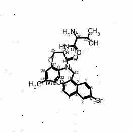 COc1ccc2cc(Br)ccc2c1CN1C(=O)[C@@H](NC(=O)[C@@H](N)[C@@H](C)O)COc2cc(C)ccc21